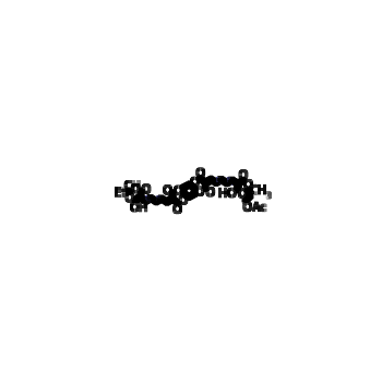 CCC1(C)OC(=O)C(/C=C/C=C/C=C2C(=O)OC3(CCC4(CC3)OC(=O)C(=C/C=C/C=C/C3=C(O)OC(C)(CCOC(C)=O)OC3=O)C(=O)O4)OC2=O)=C(O)O1